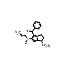 C=CC[S+]([O-])c1cc2n(c1C(=O)c1ccccc1)CCC2C(=O)O